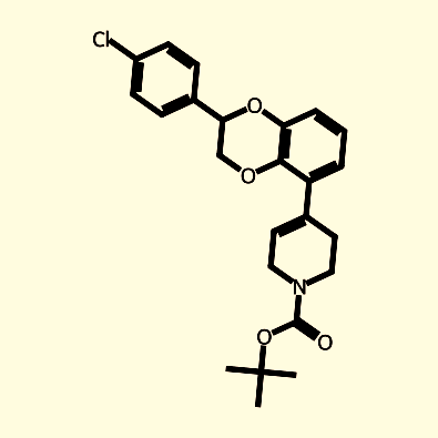 CC(C)(C)OC(=O)N1CC=C(c2cccc3c2OCC(c2ccc(Cl)cc2)O3)CC1